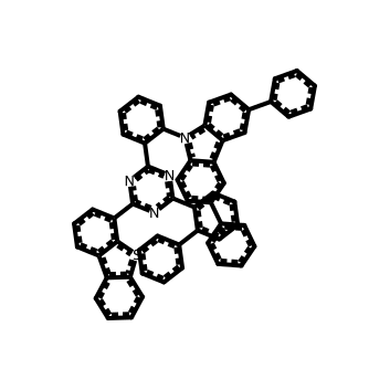 c1ccc(-c2ccc3c(c2)c2cc(-c4ccccc4)ccc2n3-c2ccccc2-c2nc(-c3ccccc3-c3ccccc3)nc(-c3cccc4c3sc3ccccc34)n2)cc1